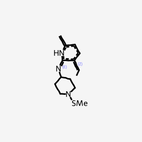 C=c1ccc(=C/C)/c(=N\C2CCN(SC)CC2)[nH]1